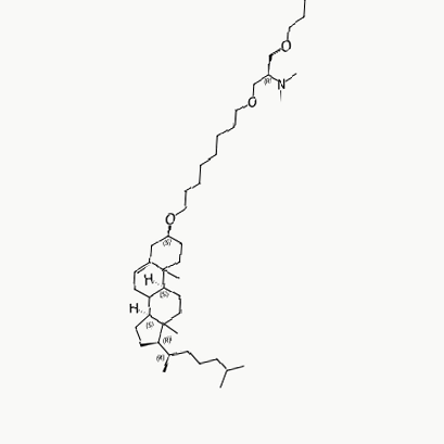 CCCCOC[C@H](COCCCCCCCCO[C@H]1CCC2(C)C(=CCC3[C@@H]2CCC2(C)[C@@H]([C@H](C)CCCC(C)C)CC[C@@H]32)C1)N(C)C